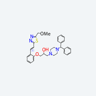 COCc1nnc(/C=C/c2ccccc2OCC(O)CN2CCN(C(c3ccccc3)c3ccccc3)CC2)s1